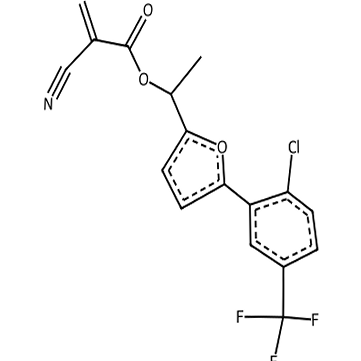 C=C(C#N)C(=O)OC(C)c1ccc(-c2cc(C(F)(F)F)ccc2Cl)o1